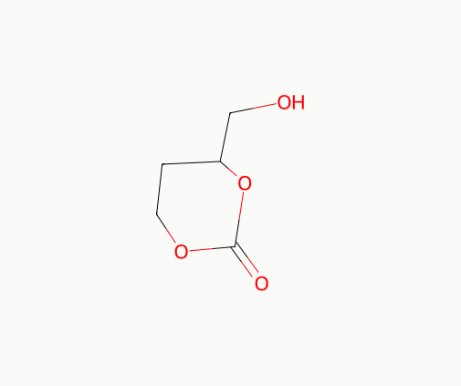 O=C1OCCC(CO)O1